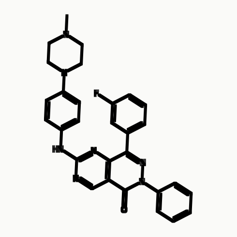 CN1CCN(c2ccc(Nc3ncc4c(=O)n(-c5ccccc5)nc(-c5cccc(F)c5)c4n3)cc2)CC1